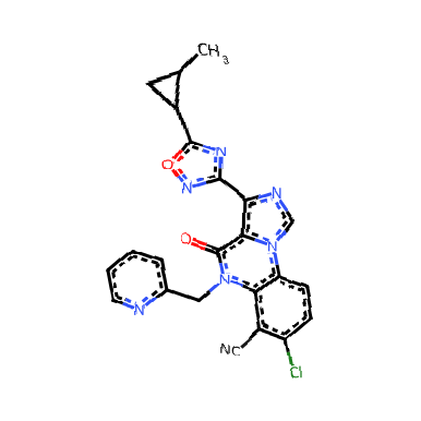 CC1CC1c1nc(-c2ncn3c2c(=O)n(Cc2ccccn2)c2c(C#N)c(Cl)ccc23)no1